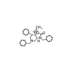 COC[C@@]1(c2ccccc2)CN(Cc2ccccc2)C[C@H]2[C@@H]1OC(=O)N2Cc1ccccc1